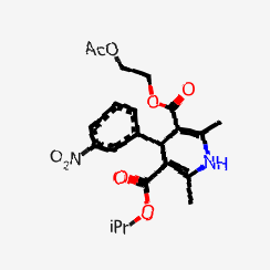 CC(=O)OCCOC(=O)C1=C(C)NC(C)=C(C(=O)OC(C)C)C1c1cccc([N+](=O)[O-])c1